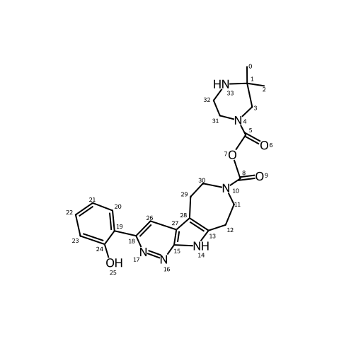 CC1(C)CN(C(=O)OC(=O)N2CCc3[nH]c4nnc(-c5ccccc5O)cc4c3CC2)CCN1